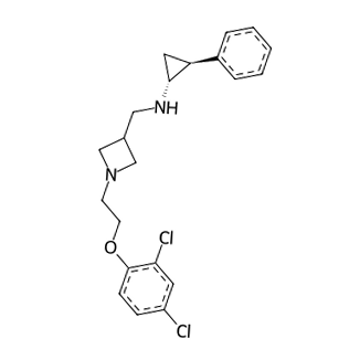 Clc1ccc(OCCN2CC(CN[C@@H]3C[C@H]3c3ccccc3)C2)c(Cl)c1